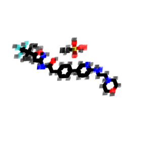 CC(C)(c1cc(NC(=O)Cc2ccc(-c3ccc(NCCN4CCOCC4)nc3)cc2)no1)C(F)(F)F.CS(=O)(=O)O